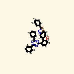 c1ccc(-c2nc(-c3ccccc3)nc(-c3cccc4oc5cc6sc(-c7ccccc7)nc6cc5c34)n2)cc1